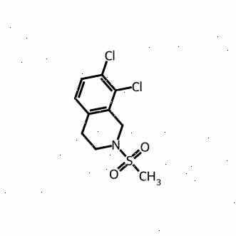 CS(=O)(=O)N1CCc2ccc(Cl)c(Cl)c2C1